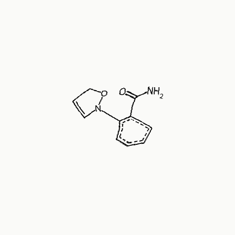 NC(=O)c1ccccc1N1C=CCO1